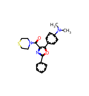 CN(C)c1ccc(-c2oc(-c3ccccc3)nc2C(=O)N2CCSCC2)cc1